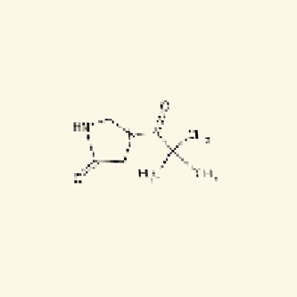 CC(C)(C)C(=O)N1CNC(=O)C1